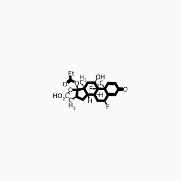 CCC(=O)O[C@]1(OC(=O)O)[C@H](C)C[C@H]2[C@@H]3C[C@H](F)C4=CC(=O)C=C[C@]4(C)[C@@]3(F)[C@@H](O)C[C@@]21C